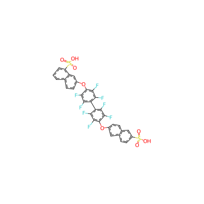 O=S(=O)(O)c1ccc2cc(Oc3c(F)c(F)c(-c4c(F)c(F)c(Oc5ccc6cccc(S(=O)(=O)O)c6c5)c(F)c4F)c(F)c3F)ccc2c1